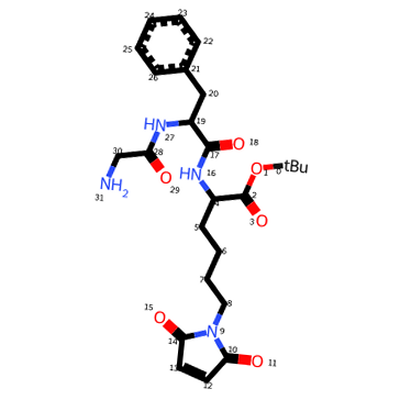 CC(C)(C)OC(=O)C(CCCCN1C(=O)C=CC1=O)NC(=O)C(Cc1ccccc1)NC(=O)CN